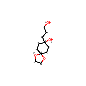 OCCCC1(O)CCC2(CC1)OCCO2